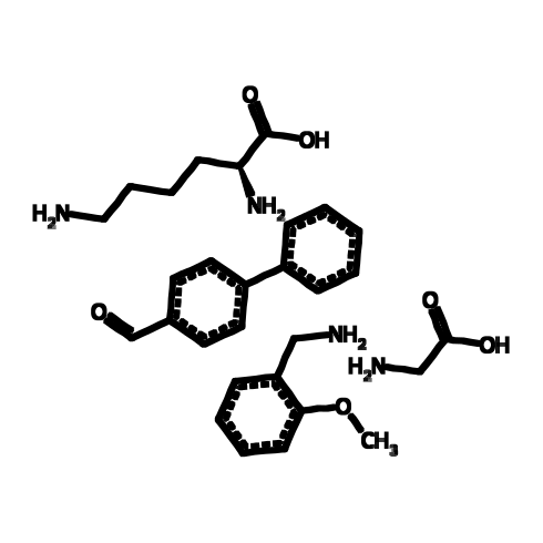 COc1ccccc1CN.NCC(=O)O.NCCCC[C@H](N)C(=O)O.O=Cc1ccc(-c2ccccc2)cc1